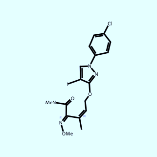 CNC(=O)C(=N/OC)/C(C)=C\COc1nn(-c2ccc(Cl)cc2)cc1I